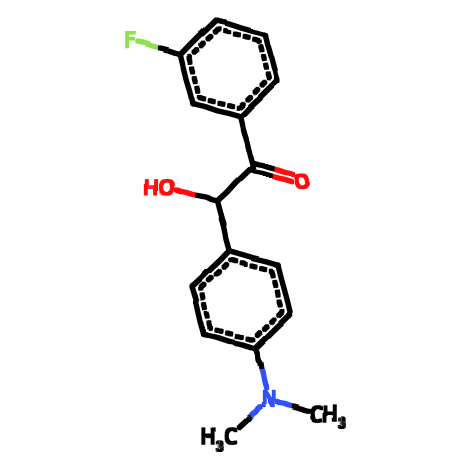 CN(C)c1ccc(C(O)C(=O)c2cccc(F)c2)cc1